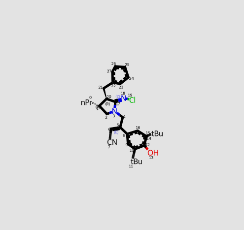 CCC[C@H]1CN(C/C(=C/C#N)c2cc(C(C)(C)C)c(O)c(C(C)(C)C)c2)/C(=N\Cl)[C@@H]1Cc1ccccc1